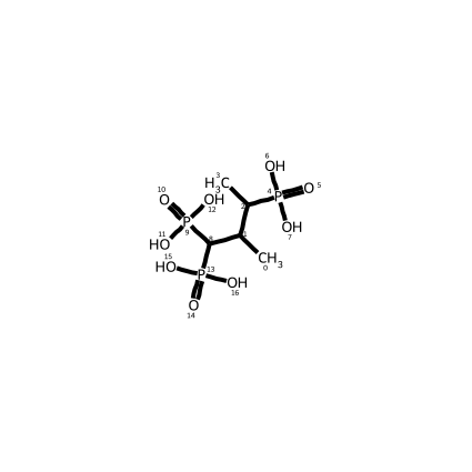 CC(C(C)P(=O)(O)O)C(P(=O)(O)O)P(=O)(O)O